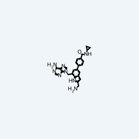 NCc1cc2cc(-c3ccc(C(=O)NC4CC4)cc3)cc(Cn3cnc4c(N)ncnc43)c2[nH]1